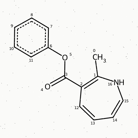 CC1=C(C(=O)Oc2ccccc2)C=CC=CN1